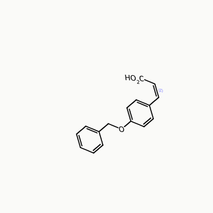 O=C(O)/C=C\c1ccc(OCc2ccccc2)cc1